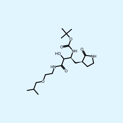 CC(C)COCCNC(=O)C(O)[C@H](C[C@@H]1CCNC1=O)NC(=O)OC(C)(C)C